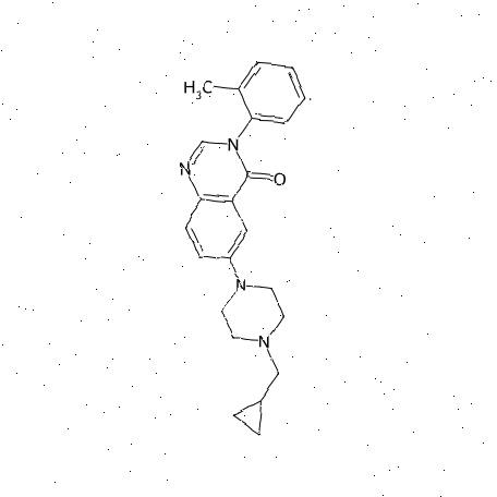 Cc1cc[c]cc1-n1cnc2ccc(N3CCN(CC4CC4)CC3)cc2c1=O